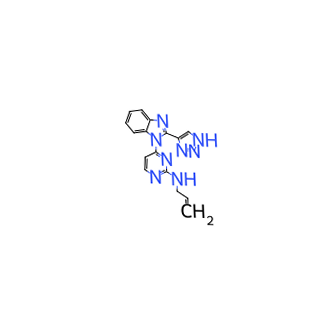 C=CCNc1nccc(-n2c(-c3c[nH]nn3)nc3ccccc32)n1